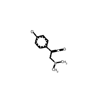 CN(C)CC(=C=O)c1ccc(Cl)cc1